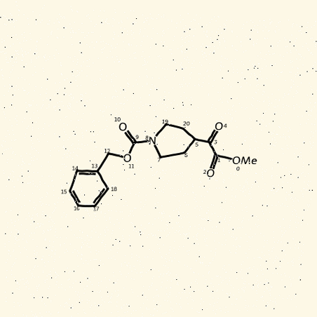 COC(=O)C(=O)C1CCN(C(=O)OCc2ccccc2)CC1